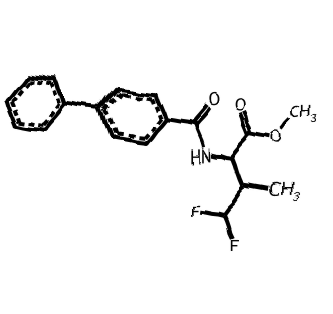 COC(=O)C(NC(=O)c1ccc(-c2ccccc2)cc1)C(C)C(F)F